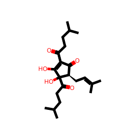 CC(C)=CC[C@@H]1C(=O)C(C(=O)CCC(C)C)=C(O)C1(O)C(=O)CCC(C)C